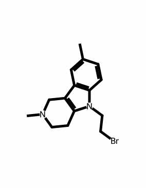 Cc1ccc2c(c1)c1c(n2CCBr)CCN(C)C1